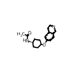 CC(=O)N[C@H]1CC[C@@H](Oc2ccc3cnccc3c2)CC1